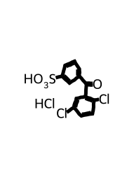 Cl.O=C(c1cccc(S(=O)(=O)O)c1)c1cc(Cl)ccc1Cl